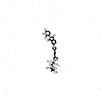 CCCC1(NC(=O)C(C)(C)n2cc(C#CC3CN(c4ccc5c(c4)C(=O)N(C4CCC(=O)NC4=O)C5=O)C3)cn2)CC1(C#N)CC